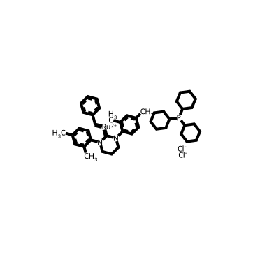 C1CCC(P(C2CCCCC2)C2CCCCC2)CC1.Cc1ccc(N2CCCN(c3ccc(C)cc3C)[C]2=[Ru+2]=[CH]c2ccccc2)c(C)c1.[Cl-].[Cl-]